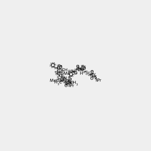 CC[C@H](C)[C@@H]([C@@H](CC(=O)N1CCC[C@H]1[C@H](OC)[C@@H](C)C(=O)N[C@@H](Cc1ccccc1)C(C)C)OC)N(C)C(=O)CNC(=O)C(C(C)C)N(C)C(=O)OCc1ccc(NC(=O)CNC(=O)C(NC(=O)CCCCCN2C(=O)CC(SCC(C)C)C2=O)C(C)C)cc1